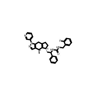 C[C@@H]1C2=C(CC[C@@H]2CC(NC(=O)NCc2ccccc2F)c2ccccc2)Cc2c1cnn2-c1cccnc1